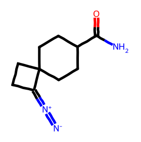 [N-]=[N+]=C1CCC12CCC(C(N)=O)CC2